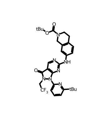 CC(C)(C)OC(=O)N1CCc2ccc(Nc3ncc4c(=O)n(CC(F)(F)F)n(-c5cccc(C(C)(C)C)n5)c4n3)cc2C1